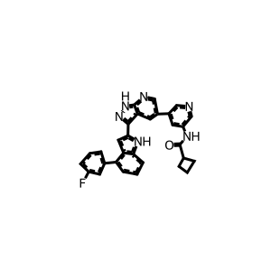 O=C(Nc1cncc(-c2cnc3[nH]nc(-c4cc5c(-c6cccc(F)c6)cccc5[nH]4)c3c2)c1)C1CCC1